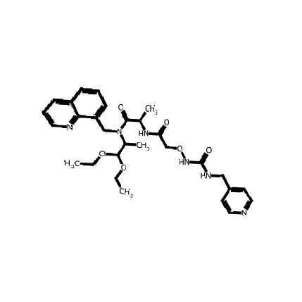 CCOC(OCC)C(C)N(Cc1cccc2cccnc12)C(=O)C(C)NC(=O)CONC(=O)NCc1ccncc1